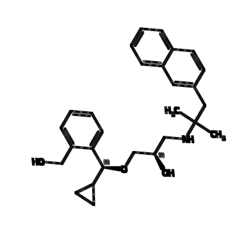 CC(C)(Cc1ccc2ccccc2c1)NC[C@@H](O)CO[C@H](c1ccccc1CO)C1CC1